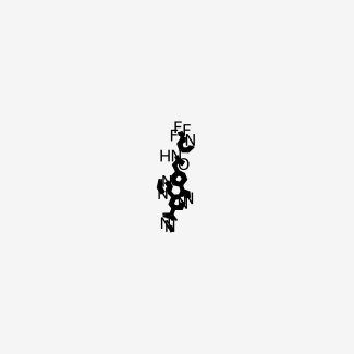 Cn1cc(-c2cc(-c3cnccn3)c3c(-c4ccc(CC(=O)Nc5ccnc(C(F)(F)F)c5)cc4)cnn3c2)cn1